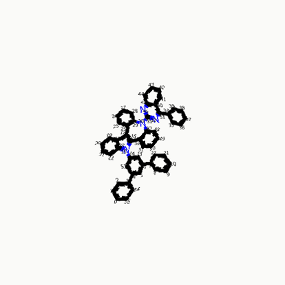 c1ccc(-c2cc(-c3ccccc3)cc(-n3c4c(c5ccccc53)-c3ccccc3N(c3nc(-c5ccccc5)c5ccccc5n3)c3ccccc3-4)c2)cc1